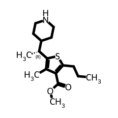 CCCc1sc([C@H](C)C2CCNCC2)c(C)c1C(=O)OC